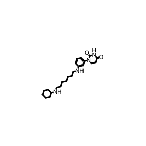 O=C1CCN(c2cccc(NCCCCCCCNC3CCCCC3)c2)C(=O)N1